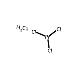 [CaH2].[Cl][Pr]([Cl])[Cl]